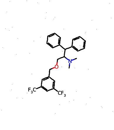 CN(C)C(COCc1cc(C(F)(F)F)cc(C(F)(F)F)c1)C(c1ccccc1)c1ccccc1